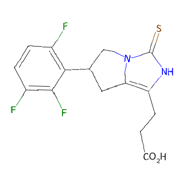 O=C(O)CCc1[nH]c(=S)n2c1CC(c1c(F)ccc(F)c1F)C2